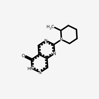 CC1CCCCN1c1ncc2c(=O)[nH]ncc2n1